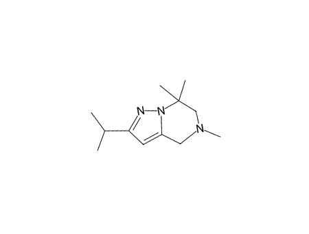 CC(C)c1cc2n(n1)C(C)(C)CN(C)C2